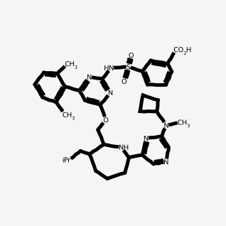 Cc1cccc(C)c1-c1cc(OCC2NC(c3cncc(N(C)C4CCC4)n3)CCCC2CC(C)C)nc(NS(=O)(=O)c2cccc(C(=O)O)c2)n1